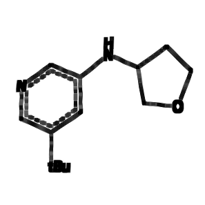 CC(C)(C)c1cncc(NC2CCOC2)c1